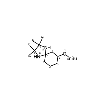 CCCCOC1CCCC2(C1)NC(C)(C)C(C)(C)N2